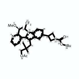 CO[C@@H](C)c1ncccc1-c1c(CC(C)(C)COC(C)=O)c2cc(C3CN(C(=O)OC(C)(C)C)C3)ccc2n1CC(F)(F)F